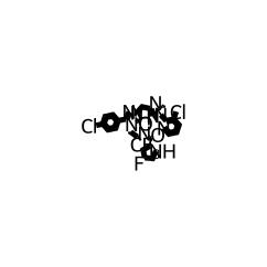 O=C(NC(Cn1c(-c2ccc(Cl)cc2)nn(Cc2ncn(-c3ncccc3Cl)n2)c1=O)C(F)(F)F)[C@@H]1CC(F)CN1